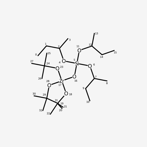 CCC(C)O[Si](OC(C)CC)(OC(C)CC)[O][Zr]([O]C(C)(C)C)([O]C(C)(C)C)[O]C(C)(C)C